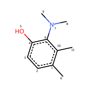 Cc1ccc(O)c(N(C)C)c1C